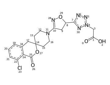 O=C(O)Cn1nnc(C2CC(N3CCC4(CC3)Cc3cccc(Cl)c3C(=O)O4)=NO2)n1